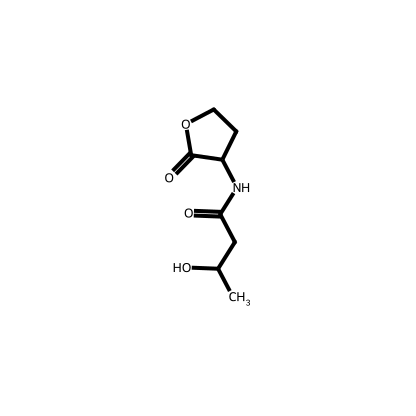 CC(O)CC(=O)NC1CCOC1=O